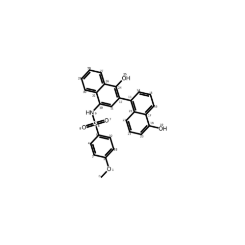 COc1ccc(S(=O)(=O)Nc2cc(-c3cccc4c(O)cccc34)c(O)c3ccccc23)cc1